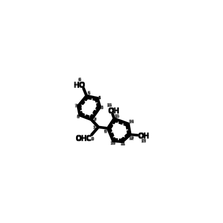 O=CC(c1ccc(O)cc1)c1ccc(O)cc1O